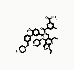 CCc1nc2c(cnn2CC)c(NC2CCOCC2)c1CN(Cc1ccc(OC)c(-c2cccc(CN3CCNCC3)c2)c1)C(=O)c1cc(C)cc(C(N)=O)c1